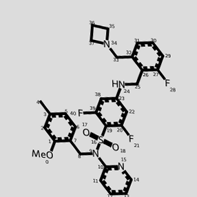 COc1cc(C)ccc1CN(c1ccccn1)S(=O)(=O)c1c(F)cc(NCc2c(F)cccc2CN2CCC2)cc1F